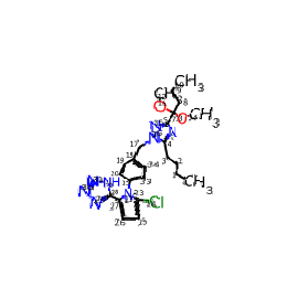 CCCCc1nc(C(CCC)(OC)OC)nn1Cc1ccc(-n2c(Cl)ccc2-c2nnn[nH]2)cc1